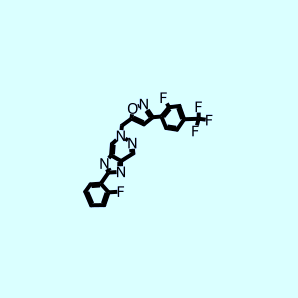 Fc1cc(C(F)(F)F)ccc1-c1cc(Cn2cc3nc(-c4ccccc4F)nc-3cn2)on1